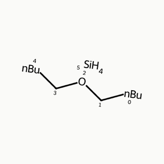 CCCCCOCCCCC.[SiH4]